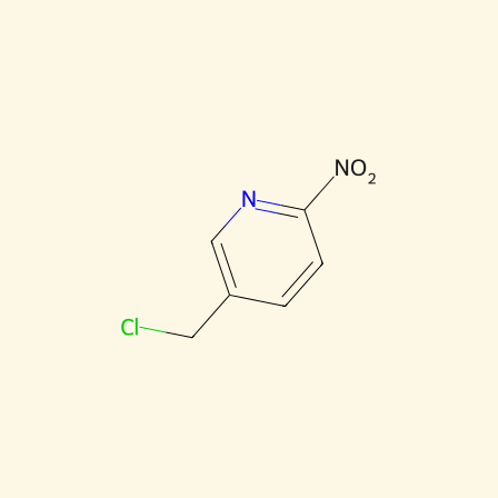 O=[N+]([O-])c1ccc(CCl)cn1